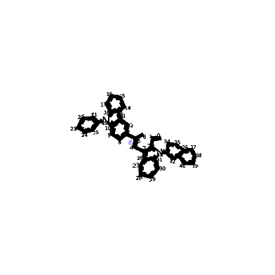 C=Cc1c(/C=C(\C)c2ccc3c(c2)c2ccccc2n3-c2ccccc2)c2ccccc2n1-c1ccc2ccccc2c1